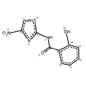 O=C(Nc1nc([N+](=O)[O-])cs1)c1ccccc1O